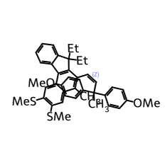 CCC1(CC)c2ccccc2-c2c1c(/C=C\C(C)(c1ccc(OC)cc1)c1ccc(OC)cc1)c(C)c1cc(SC)c(SC)cc21